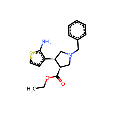 CCOC(=O)[C@@H]1CN(Cc2ccccc2)C[C@@H]1c1ccsc1N